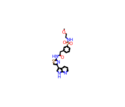 COCCNS(=O)(=O)c1cccc(CC(=O)Nc2nc(-c3c[nH]c4ncccc34)cs2)c1